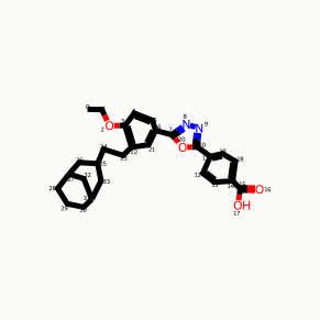 CCOc1ccc(-c2nnc(-c3ccc(C(=O)O)cc3)o2)cc1CCC1CC2CCCC(C2)C1